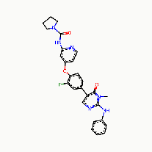 Cn1c(Nc2ccccc2)ncc(-c2ccc(Oc3ccnc(NC(=O)N4CCCC4)c3)c(F)c2)c1=O